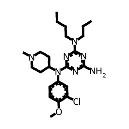 CCCCN(CCC)c1nc(N)nc(N(c2ccc(OC)c(Cl)c2)C2CCN(C)CC2)n1